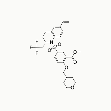 C=Cc1ccc2c(c1)CC[C@@H](CC(F)(F)F)N2S(=O)(=O)c1ccc(OCC2CCOCC2)c(C(=O)OC)c1